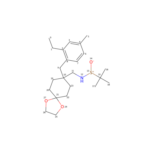 CCc1cc(C)ccc1CC1(CN[S+]([O-])C(C)(C)C)CCC2(CC1)OCCO2